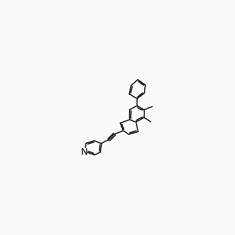 Cc1c(-c2ccccc2)cc2cc(C#Cc3ccncc3)ccc2c1C